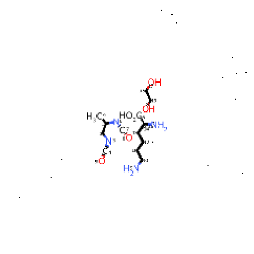 CC(CN=C=O)N=C=O.NCCCC[C@H](N)C(=O)O.OCCO